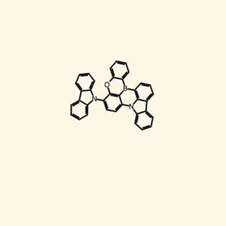 c1ccc2c(c1)Oc1c(-n3c4ccccc4c4ccccc43)ccc3c1B2c1cccc2c4ccccc4n-3c12